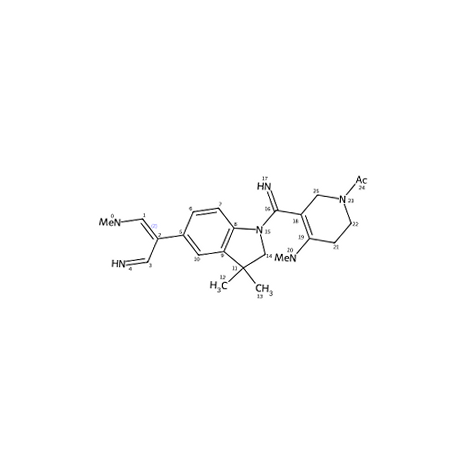 CN/C=C(\C=N)c1ccc2c(c1)C(C)(C)CN2C(=N)C1=C(NC)CCN(C(C)=O)C1